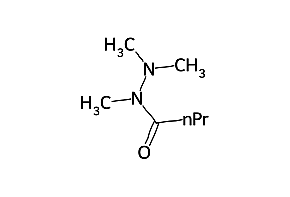 CCCC(=O)N(C)N(C)C